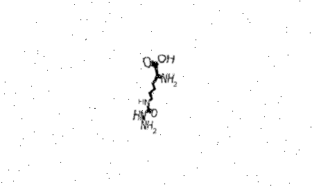 NNC(=O)NCCCCC(N)C(=O)O